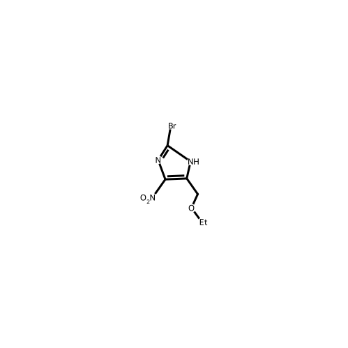 CCOCc1[nH]c(Br)nc1[N+](=O)[O-]